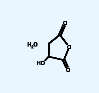 O.O=C1CC(O)C(=O)O1